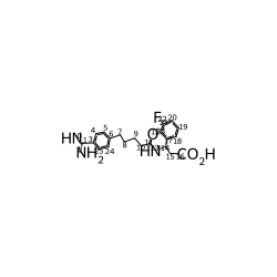 N=C(N)c1ccc(CCCCC(=O)NC(CC(=O)O)c2cccc(F)c2)cc1